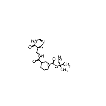 CC(C)(C)OC(=O)N1CCCC(C(=O)NCc2nnc[nH]c2=O)C1